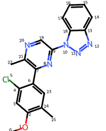 COc1cc(Cl)c(-c2nc(-n3nnc4ccccc43)cnc2C)cc1C